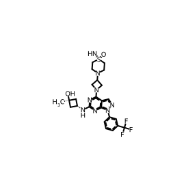 C[C@]1(O)C[C@H](Nc2nc(N3CC(N4CCS(=N)(=O)CC4)C3)c3cnn(-c4cccc(C(F)(F)F)c4)c3n2)C1